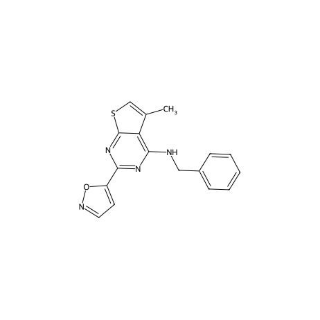 Cc1csc2nc(-c3ccno3)nc(NCc3ccccc3)c12